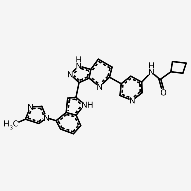 Cc1cn(-c2cccc3[nH]c(-c4n[nH]c5ccc(-c6cncc(NC(=O)C7CCC7)c6)nc45)cc23)cn1